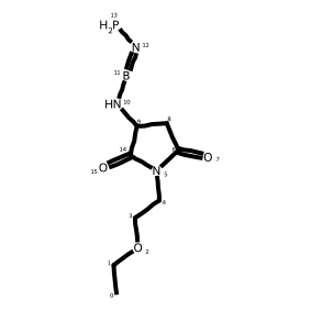 CCOCCN1C(=O)CC(N/B=N/P)C1=O